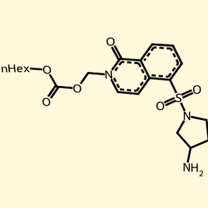 CCCCCCOC(=O)OCn1ccc2c(S(=O)(=O)N3CCC(N)C3)cccc2c1=O